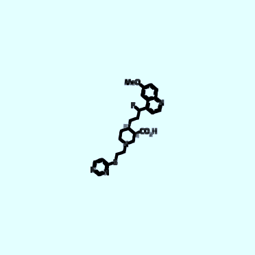 COc1ccc2nccc(C(F)CC[C@@H]3CCN(CCSc4ccncn4)C[C@@H]3C(=O)O)c2c1